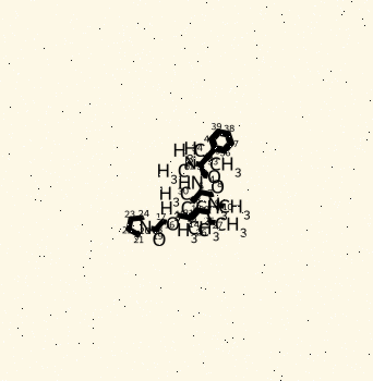 CNC(C(=O)N[C@H](C(=O)N(C)[C@H](/C=C(\C)COCC(=O)N1CCCC1)C(C)C)C(C)(C)C)C(C)(C)c1ccccc1